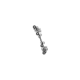 Cc1ccccc1S(=O)(=O)NC(=O)Nc1cccc(C(=O)OCCCCCOC(=O)c2cccc(NC(=O)NS(=O)(=O)c3ccccc3C)c2)c1